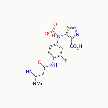 CNC(=N)CC(=O)Nc1ccc(N(c2scnc2C(=O)O)[SH](=O)=O)cc1F